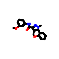 COc1cccc(NC(=O)c2nn(C)c3c2COc2ccccc2-3)c1